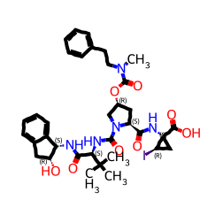 CN(CCc1ccccc1)C(=O)O[C@@H]1C[C@@H](C(=O)N[C@]2(C(=O)O)C[C@H]2I)N(C(=O)N[C@H](C(=O)N[C@H]2c3ccccc3C[C@H]2O)C(C)(C)C)C1